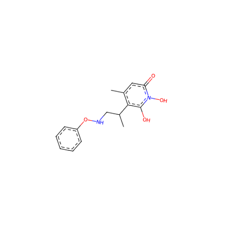 Cc1cc(=O)n(O)c(O)c1C(C)CNOc1ccccc1